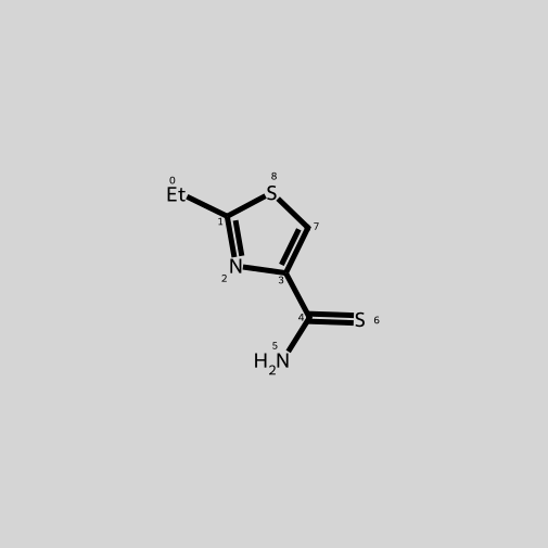 CCc1nc(C(N)=S)cs1